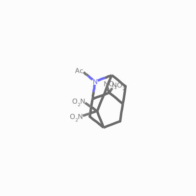 CC(=O)N1C2CC3CC(CC1C3([N+](=O)[O-])[N+](=O)[O-])C2([N+](=O)[O-])[N+](=O)[O-]